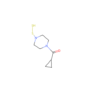 O=C(C1CC1)N1CCN(SS)CC1